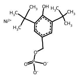 CC(C)(C)c1cc(COP(=O)([O-])[O-])cc(C(C)(C)C)c1O.[Ni+2]